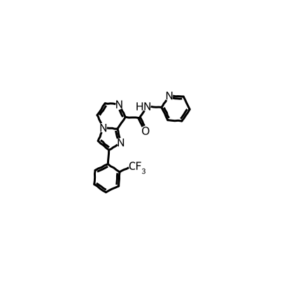 O=C(Nc1ccccn1)c1nccn2cc(-c3ccccc3C(F)(F)F)nc12